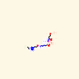 O=C(O)CCC(NC(=O)NC(CCCCNC(=O)CCc1cn(CCF)nn1)C(=O)O)C(=O)O